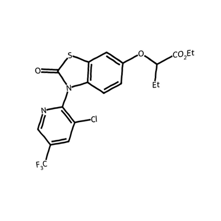 CCOC(=O)C(CC)Oc1ccc2c(c1)sc(=O)n2-c1ncc(C(F)(F)F)cc1Cl